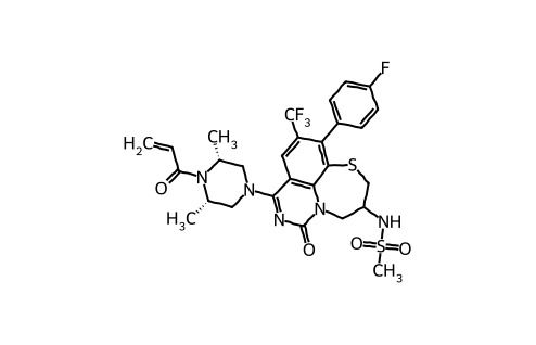 C=CC(=O)N1[C@H](C)CN(c2nc(=O)n3c4c(c(-c5ccc(F)cc5)c(C(F)(F)F)cc24)SCC(NS(C)(=O)=O)C3)C[C@@H]1C